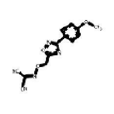 N#CC(C#N)=NOCc1nc(-c2ccc(OC(F)(F)F)cc2)no1